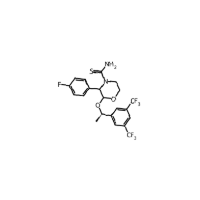 C[C@@H](OC1OCCN(C(N)=S)C1c1ccc(F)cc1)c1cc(C(F)(F)F)cc(C(F)(F)F)c1